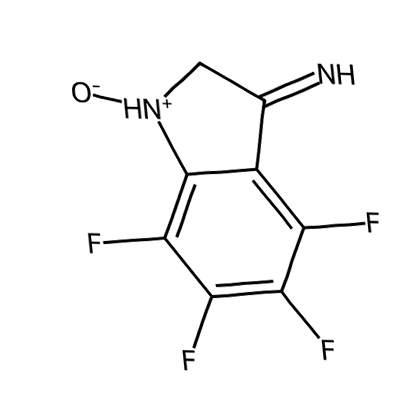 N=C1C[NH+]([O-])c2c(F)c(F)c(F)c(F)c21